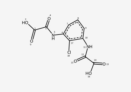 O=C(O)C(=O)Nc1cccc(NC(=O)C(=O)O)c1Cl